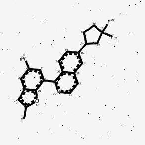 Cc1cc2cc(C(C)C)cc(-c3nccc4cc(C5CCC(F)(F)C5)ccc34)c2o1